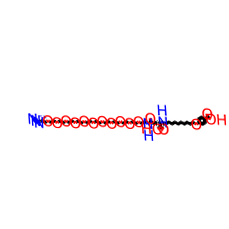 [N-]=[N+]=NCCOCCOCCOCCOCCOCCOCCOCCOCCOCCOCCOCCNC(=O)CC[C@H](NCCCCCCCCCCOc1ccc(C(=O)O)cc1)C(=O)O